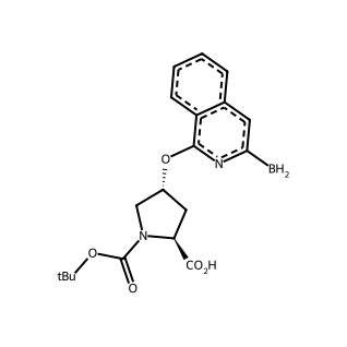 Bc1cc2ccccc2c(O[C@@H]2C[C@@H](C(=O)O)N(C(=O)OC(C)(C)C)C2)n1